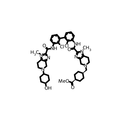 COC(=O)[C@H]1CC[C@@H](CN2CCc3c(nc(C(=O)Nc4cccc(-c5cccc(NC(=O)c6nc7c(n6C)CCN(C6CCC(O)CC6)C7)c5Cl)c4Cl)n3C)C2)CC1